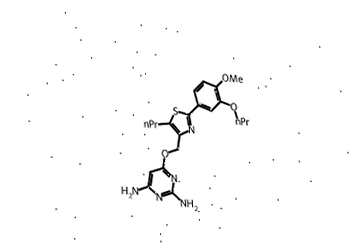 CCCOc1cc(-c2nc(COc3cc(N)nc(N)n3)c(CCC)s2)ccc1OC